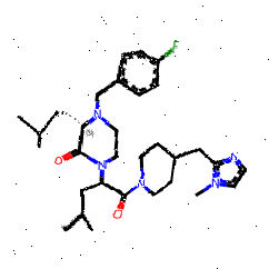 CC(C)CC(C(=O)N1CCC(Cc2nccn2C)CC1)N1CCN(Cc2ccc(F)cc2)[C@@H](CC(C)C)C1=O